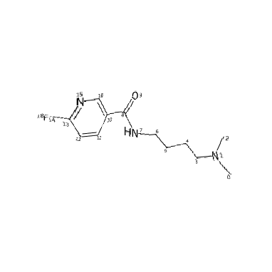 CN(C)CCCCNC(=O)c1ccc([18F])nc1